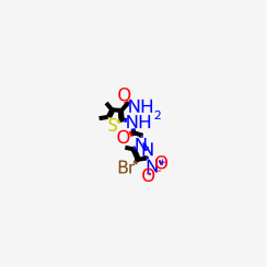 Cc1sc(NC(=O)Cn2nc([N+](=O)[O-])c(Br)c2C)c(C(N)=O)c1C